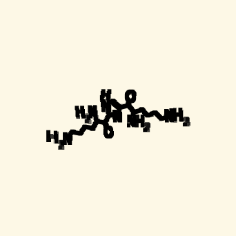 NCCCCC(N)C(=O)c1c[nH]c(C(=O)C(N)CCCCN)n1